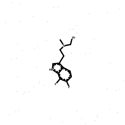 CC(C)CN(C)CCc1c[nH]c2c(F)c(F)ccc12